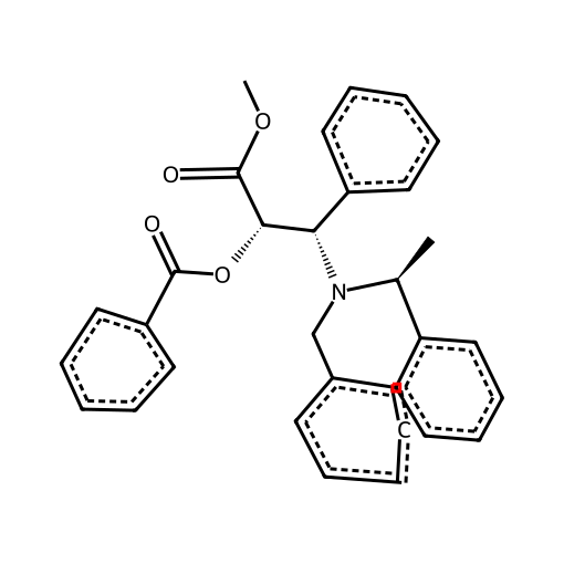 COC(=O)[C@@H](OC(=O)c1ccccc1)[C@H](c1ccccc1)N(Cc1ccccc1)[C@@H](C)c1ccccc1